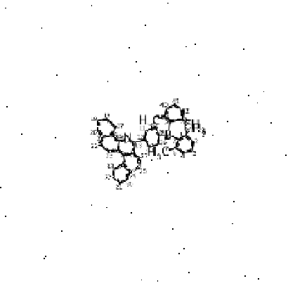 Cc1cccc(C)c1B(c1ccc(-c2nc3c4ccccc4ccc3c3c2ccc2ccccc23)cc1)c1c(C)cccc1C